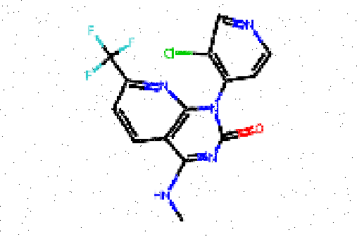 CNc1nc(=O)n(-c2ccncc2Cl)c2nc(C(F)(F)F)ccc12